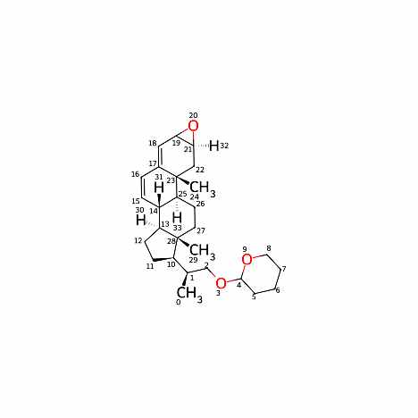 C[C@H](COC1CCCCO1)[C@H]1CC[C@H]2[C@@H]3C=CC4=CC5O[C@H]5C[C@]4(C)[C@H]3CC[C@]12C